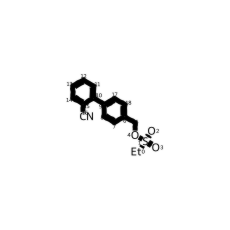 CCS(=O)(=O)OCc1ccc(-c2ccccc2C#N)cc1